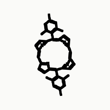 Cc1cc(C)c(C2=C3C=CC(=N3)C=C3C=CC(=N3)C(c3c(C)cc(C)cc3C)=C3C=CC(=N3)C=C3C=CC2=N3)c(C)c1